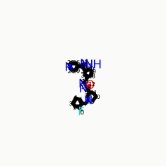 Fc1ccccc1CN1CCCC(c2nnc(-c3ccc4[nH]nc(-c5ccncc5)c4c3)o2)C1